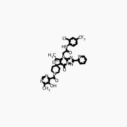 Cc1ncnc(C(=O)N2CCC3(CC2)O[C@H](C)c2c3c(=O)n3nc(-c4ccccn4)nc3n2CC(=O)Nc2ccc(C(F)(F)F)cc2Cl)c1O